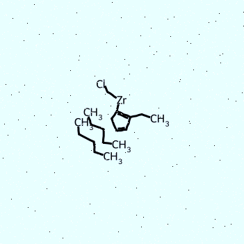 CCC1=[C]([Zr][CH2]Cl)CC=C1.CCCCC.CCCCC